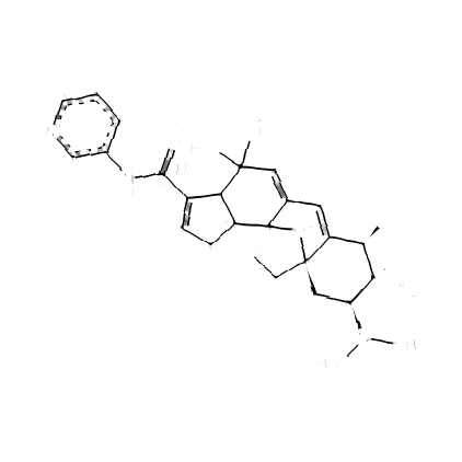 CN(C)[C@H]1C[C@@]23CC[C@@]4(O2)C(=CC(C)(C)[C@]2(C)C(C(=O)Nc5cccnc5)=CCC42)C=C3[C@@H](O)[C@@H]1O